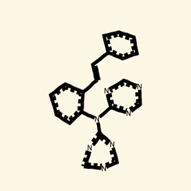 C(=Cc1ccccc1N(c1ncncn1)c1ncncn1)c1ccccc1